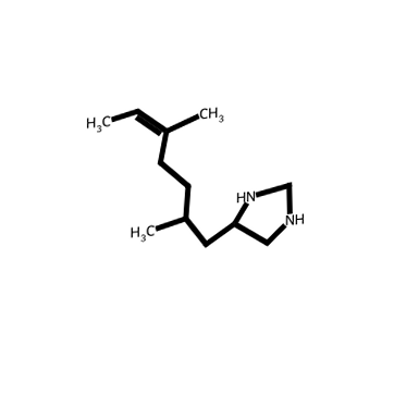 C/C=C(/C)CCC(C)CC1CNCN1